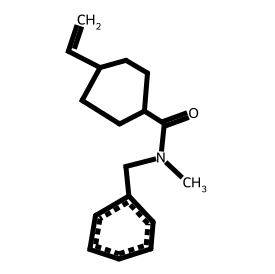 C=CC1CCC(C(=O)N(C)Cc2ccccc2)CC1